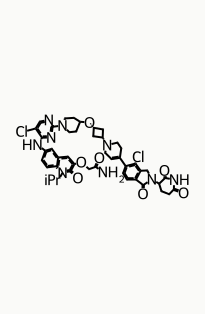 CC(C)n1c(=O)c(OCC(N)=O)cc2cc(Nc3nc(N4CCC(O[C@H]5C[C@H](N6CC=C(c7ccc8c(c7Cl)CN(C7CCC(=O)NC7=O)C8=O)CC6)C5)CC4)ncc3Cl)ccc21